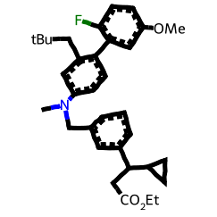 CCOC(=O)CC(c1cccc(CN(C)c2ccc(-c3cc(OC)ccc3F)c(CC(C)(C)C)c2)c1)C1CC1